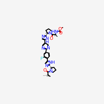 [CH2][C@@H](C)C(=O)N1CCC[C@H]1c1ncc(-c2ccc(-c3ncc(-c4cnc([C@@H]5CCCN5C(=O)[C@H](C)NC(=O)OC)[nH]4)cn3)cc2F)[nH]1